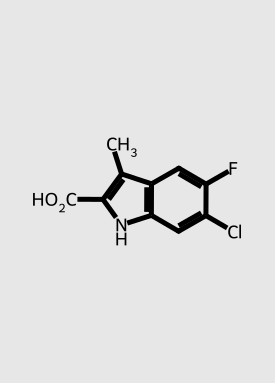 Cc1c(C(=O)O)[nH]c2cc(Cl)c(F)cc12